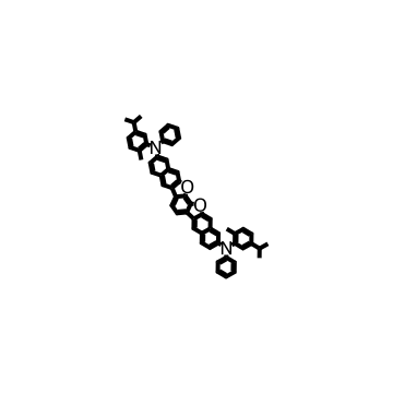 Cc1ccc(C(C)C)cc1N(c1ccccc1)c1ccc2cc3c(cc2c1)oc1c3ccc2c3cc4ccc(N(c5ccccc5)c5cc(C(C)C)ccc5C)cc4cc3oc21